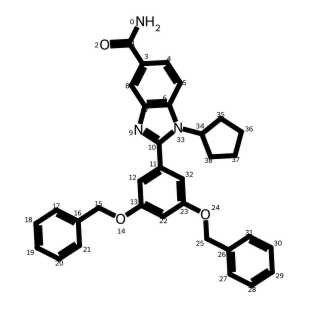 NC(=O)c1ccc2c(c1)nc(-c1cc(OCc3ccccc3)cc(OCc3ccccc3)c1)n2C1CCCC1